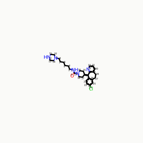 O=C(NCCCCCCN1CCNCC1)N1CCC(=C2c3ccc(Cl)cc3CCc3cccnc32)CC1